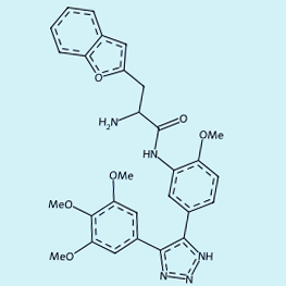 COc1ccc(-c2[nH]nnc2-c2cc(OC)c(OC)c(OC)c2)cc1NC(=O)C(N)Cc1cc2ccccc2o1